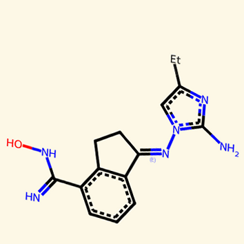 CCc1cn(/N=C2\CCc3c(C(=N)NO)cccc32)c(N)n1